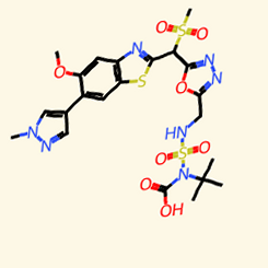 COc1cc2nc(C(c3nnc(CNS(=O)(=O)N(C(=O)O)C(C)(C)C)o3)S(C)(=O)=O)sc2cc1-c1cnn(C)c1